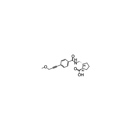 COCC#Cc1ccc(C(=O)NC[C@@H]2CCC[C@H]2C(=O)O)cc1